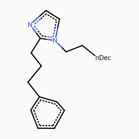 CCCCCCCCCCCCn1ccnc1CCCc1ccccc1